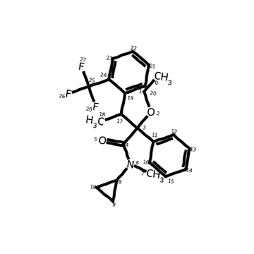 CCOC(C(=O)N(C)C1CC1)(c1ccccc1)C(C)c1ccccc1C(F)(F)F